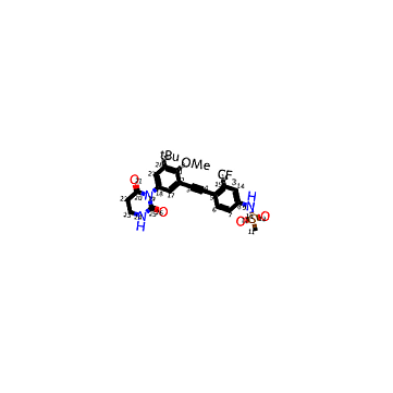 COc1c(C#Cc2ccc(NS(C)(=O)=O)cc2C(F)(F)F)cc(N2C(=O)CCNC2=O)cc1C(C)(C)C